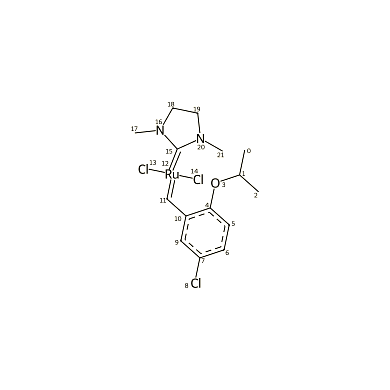 CC(C)Oc1ccc(Cl)cc1[CH]=[Ru]([Cl])([Cl])=[C]1N(C)CCN1C